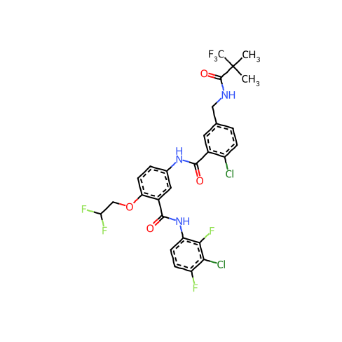 CC(C)(C(=O)NCc1ccc(Cl)c(C(=O)Nc2ccc(OCC(F)F)c(C(=O)Nc3ccc(F)c(Cl)c3F)c2)c1)C(F)(F)F